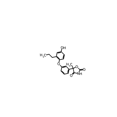 CCCc1cc(O)ccc1Oc1cccc(C2(C)OC(=O)NC2=O)c1